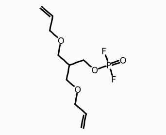 C=CCOCC(COCC=C)COP(=O)(F)F